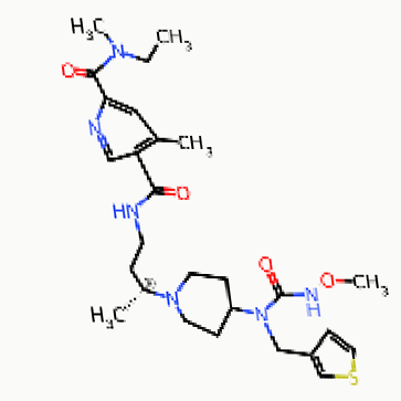 CCN(C)C(=O)c1cc(C)c(C(=O)NCC[C@@H](C)N2CCC(N(Cc3ccsc3)C(=O)NOC)CC2)cn1